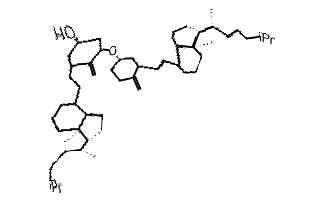 C=C1CC[C@H](OC2C[C@H](O)CC(CCC3CCC[C@@]4(C)C3CC[C@@H]4[C@H](C)CCCC(C)C)C2=C)CC1CCC1CCC[C@@]2(C)C1CC[C@@H]2[C@H](C)CCCC(C)C